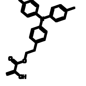 C=C(O)C(=O)OCCc1ccc(N(c2ccc(C)cc2)c2ccc(C)cc2)cc1